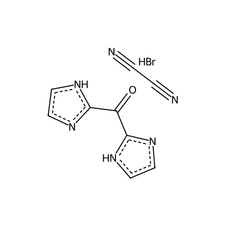 Br.N#CC#N.O=C(c1ncc[nH]1)c1ncc[nH]1